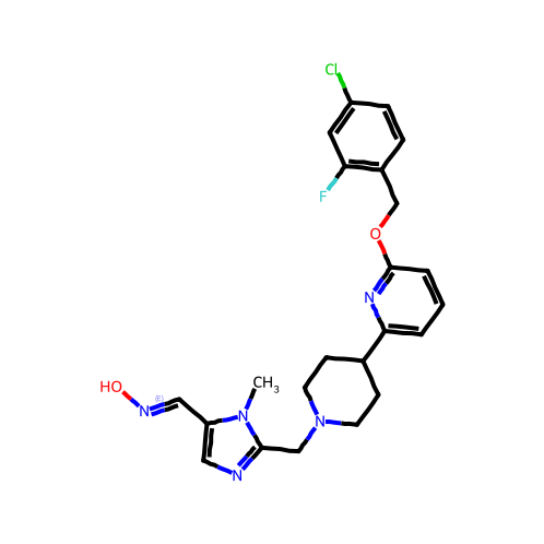 Cn1c(/C=N/O)cnc1CN1CCC(c2cccc(OCc3ccc(Cl)cc3F)n2)CC1